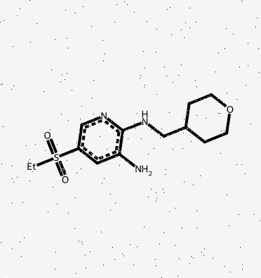 CCS(=O)(=O)c1cnc(NCC2CCOCC2)c(N)c1